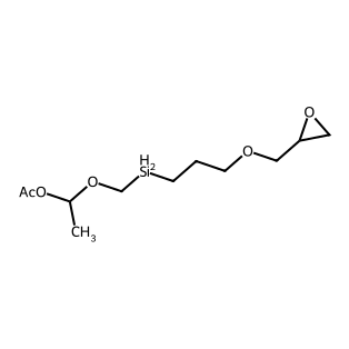 CC(=O)OC(C)OC[SiH2]CCCOCC1CO1